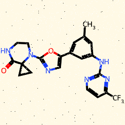 Cc1cc(Nc2nccc(C(F)(F)F)n2)cc(-c2cnc(N3CCNC(=O)C34CC4)o2)c1